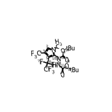 Cn1cc(C(F)(F)F)c(C(F)(F)C(F)(F)F)c1N(NC(=O)OC(C)(C)C)C(=O)OC(C)(C)C